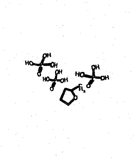 CC1CCCO1.O=P(O)(O)O.O=P(O)(O)O.O=P(O)(O)O